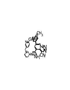 COc1ccc(CN2CCC[C@H](N/C=C(\C=N)c3cc(-c4cnn(C)c4)cn4nnc(C#N)c34)C2)cn1